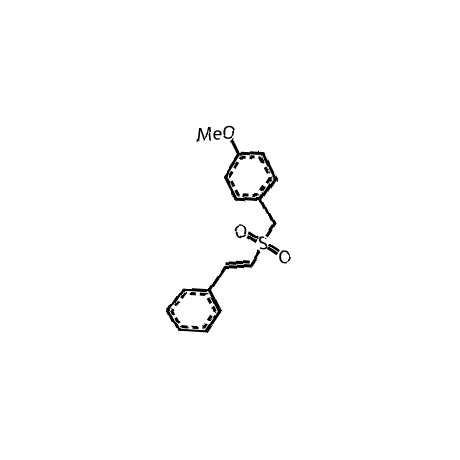 COc1ccc(CS(=O)(=O)C=Cc2ccccc2)cc1